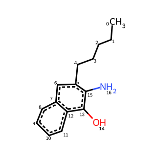 CCCCCc1cc2ccccc2c(O)c1N